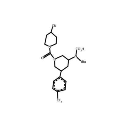 CC(C)(C)N(C(=O)O)C1CC(c2ccc(C(F)(F)F)cc2)CN(C(=O)N2CCC(C#N)CC2)C1